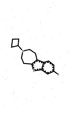 Fc1ccc2c3c(sc2c1)CCN(C1CCC1)CC3